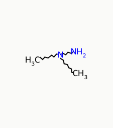 CCCCCCCCN(CCCCN)CCCCCCCC